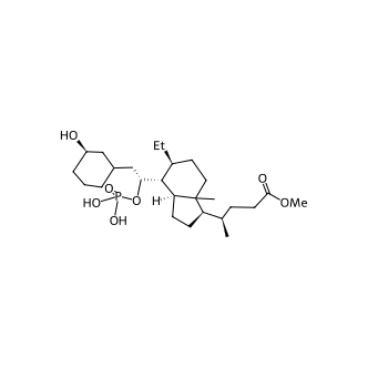 CC[C@H]1CCC2(C)[C@@H]([C@H](C)CCC(=O)OC)CC[C@H]2[C@@H]1[C@@H](CC1CCC[C@@H](O)C1)OP(=O)(O)O